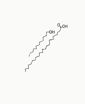 CCCCCCCCCCCCCCCCCCCCCC(=O)O.CCCCCCCCCCCCO